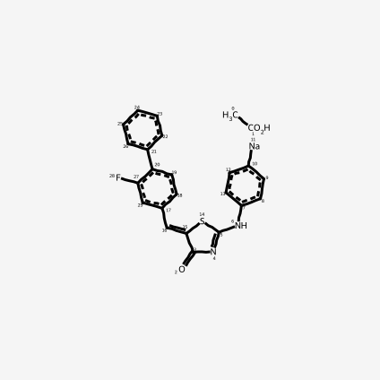 CC(=O)O.O=C1N=C(Nc2cc[c]([Na])cc2)SC1=Cc1ccc(-c2ccccc2)c(F)c1